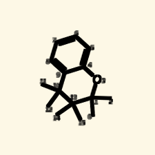 CC1(C)Oc2ccccc2C(C)(C)C1(C)C